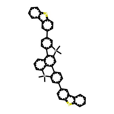 C[Si]1(C)c2cc(-c3ccc4sc5ccccc5c4c3)ccc2-c2c1cc1c3c(cccc23)[Si](C)(C)c2cc(-c3ccc4sc5ccccc5c4c3)ccc2-1